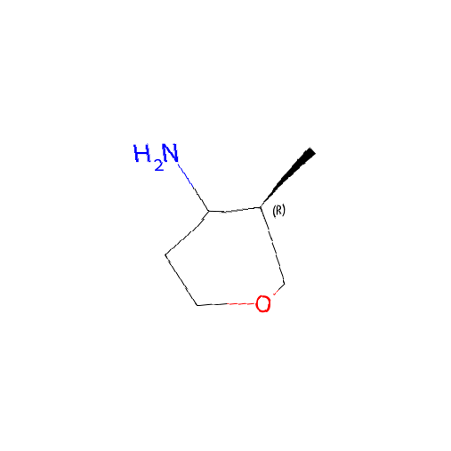 C[C@H]1COCCC1N